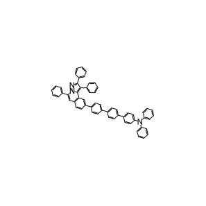 c1ccc(-c2nn3c(-c4ccccc4)cc4ccc(-c5ccc(-c6ccc(-c7ccc(N(c8ccccc8)c8ccccc8)cc7)cc6)cc5)cc4c3c2-c2ccccc2)cc1